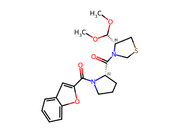 COC(OC)[C@@H]1CSCN1C(=O)[C@@H]1CCCN1C(=O)c1cc2ccccc2o1